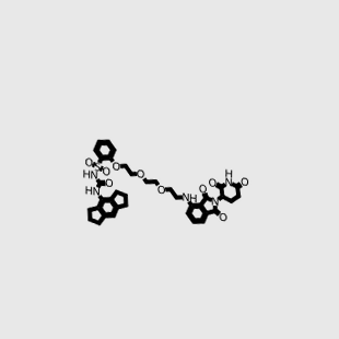 O=C1CCC(N2C(=O)c3cccc(NCCOCCOCCOc4ccccc4S(=O)(=O)NC(=O)Nc4c5c(cc6c4CCC6)CCC5)c3C2=O)C(=O)N1